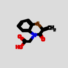 C=C1Sc2ccccc2N(CC(=O)O)C1=O